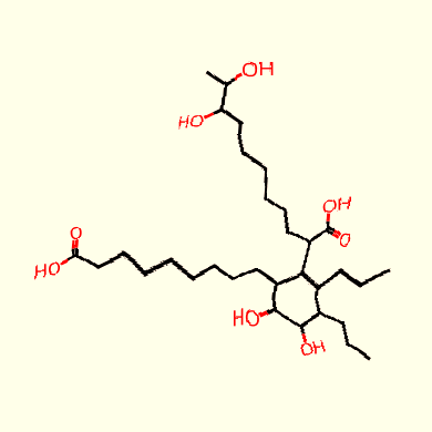 CCCC1C(O)C(O)C(CCCCCCCCC(=O)O)C(C(CCCCCCC(O)C(C)O)C(=O)O)C1CCC